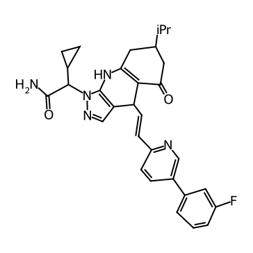 CC(C)C1CC(=O)C2=C(C1)Nc1c(cnn1C(C(N)=O)C1CC1)C2C=Cc1ccc(-c2cccc(F)c2)cn1